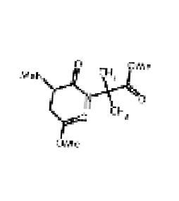 CNC(CC(=O)OC)C(=O)NC(C)(C)C(=O)OC